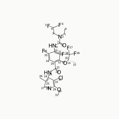 CCN(CC(F)F)C(=O)Nc1cc(O[C@@H](C)C(F)(F)F)c(C(=O)Nc2c(C)cnc(OC)c2Cl)cc1F